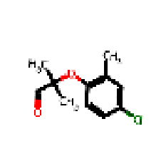 Cc1cc(Cl)ccc1OC(C)(C)C=O